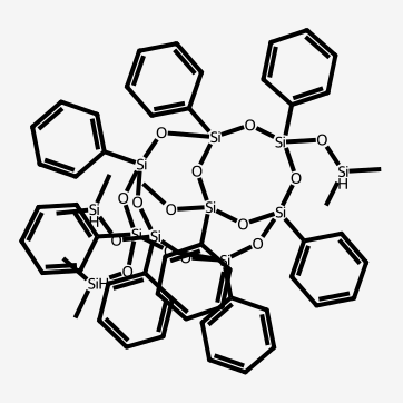 CO[Si]1(c2ccccc2)O[Si]2(c3ccccc3)O[Si](O[SiH](C)C)(c3ccccc3)O[Si](c3ccccc3)(O1)O[Si]1(c3ccccc3)O[Si](O[SiH](C)C)(c3ccccc3)O[Si](c3ccccc3)(O[Si](O[SiH](C)C)(c3ccccc3)O1)O2